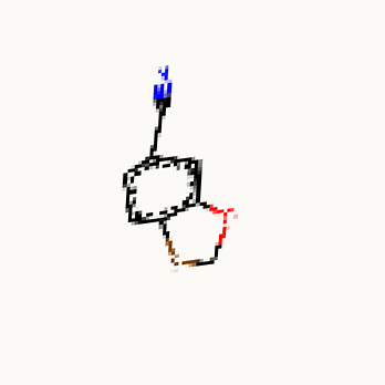 N#Cc1ccc2c(c1)OCS2